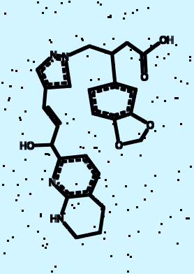 O=C(O)CC(Cn1cc(C=CC(O)c2ccc3c(n2)NCCC3)cn1)c1ccc2c(c1)OCO2